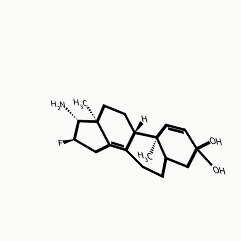 C[C@]12CC[C@H]3C(=C1C[C@@H](F)[C@@H]2N)CCC1CC(O)(O)C=C[C@@]13C